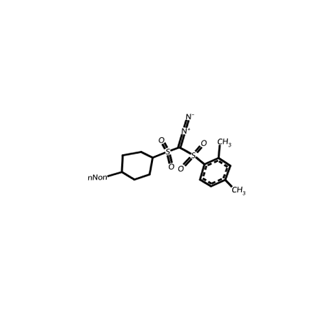 CCCCCCCCCC1CCC(S(=O)(=O)C(=[N+]=[N-])S(=O)(=O)c2ccc(C)cc2C)CC1